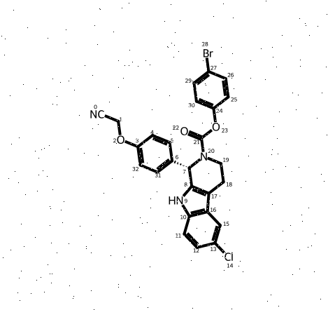 N#CCOc1ccc([C@H]2c3[nH]c4ccc(Cl)cc4c3CCN2C(=O)Oc2ccc(Br)cc2)cc1